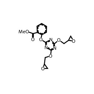 COC(=O)c1ccccc1Oc1nc(OCC2CO2)nc(OCC2CO2)n1